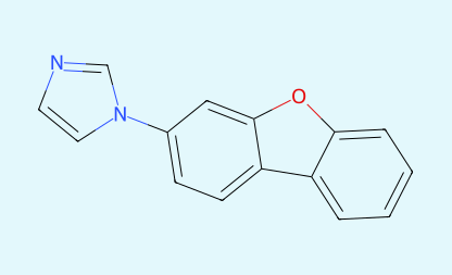 c1ccc2c(c1)oc1cc(-n3ccnc3)ccc12